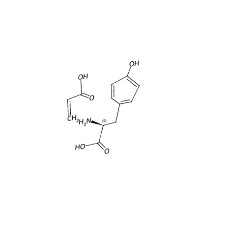 C=CC(=O)O.N[C@@H](Cc1ccc(O)cc1)C(=O)O